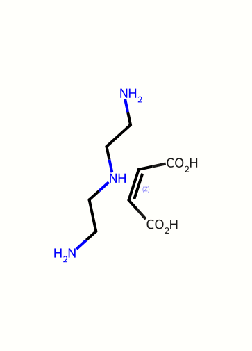 NCCNCCN.O=C(O)/C=C\C(=O)O